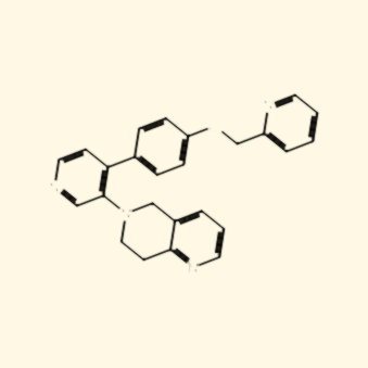 c1ccc(COc2ccc(-c3ccncc3N3CCc4ncccc4C3)cc2)nc1